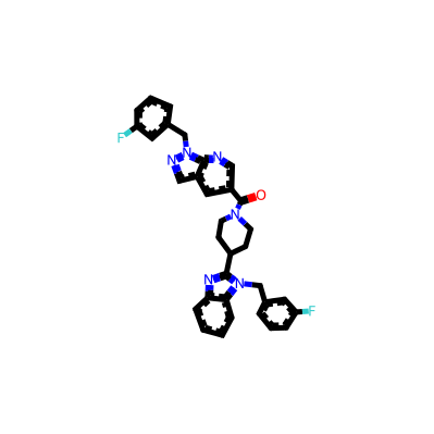 O=C(c1cnc2c(cnn2Cc2cccc(F)c2)c1)N1CCC(c2nc3ccccc3n2Cc2cccc(F)c2)CC1